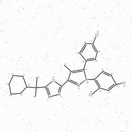 Cc1c(-c2nnc(C(C)(C)C3CCCCC3)o2)nn(-c2ccc(Cl)cc2Cl)c1-c1ccc(Cl)cc1